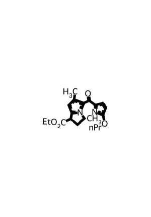 CCCOc1ccc(C(=O)c2c(C)cc3n2CCC3C(=O)OCC)n1C